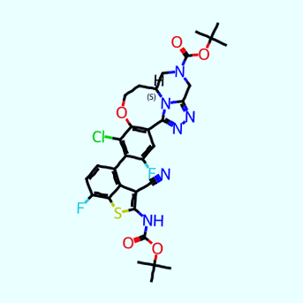 CC(C)(C)OC(=O)Nc1sc2c(F)ccc(-c3c(F)cc4c(c3Cl)OCC[C@H]3CN(C(=O)OC(C)(C)C)Cc5nnc-4n53)c2c1C#N